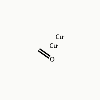 C=O.[Cu].[Cu]